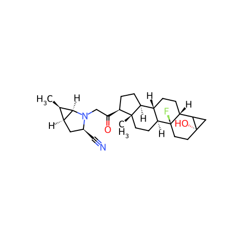 C[C@@H]1[C@@H]2C[C@H](C#N)N(CC(=O)[C@H]3CC[C@H]4[C@@H]5CC[C@@H]6C7C[C@@]7(O)CC[C@]6(F)[C@H]5CC[C@]34C)[C@H]12